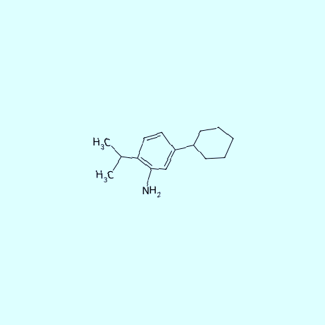 CC(C)c1ccc(C2CCCCC2)cc1N